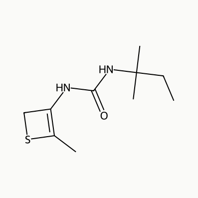 CCC(C)(C)NC(=O)NC1=C(C)SC1